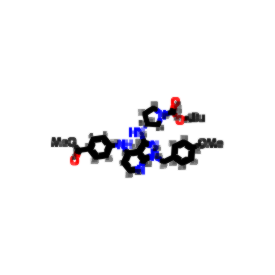 COC(=O)c1ccc(Nc2ccnc3c2c(N[C@@H]2CCN(C(=O)OC(C)(C)C)C2)nn3Cc2ccc(OC)cc2)cc1